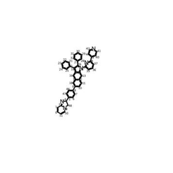 C1=CC2=NC(c3ccc(-c4ccc5cc6c(cc5c4)c(-c4ccccc4)c(-c4ccccc4)n6-c4cccc(-c5ccncc5)n4)cc3)CN2C=C1